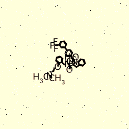 CN(C)CCCOc1ccccc1CNC(=O)[C@@H]1Cc2ccccc2N1S(=O)(=O)c1ccc(-c2cccc(C(F)(F)F)c2)cc1